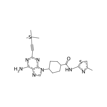 Cc1csc(NC(=O)C2CCC(n3cnc4c(N)nc(C#C[Si](C)(C)C)nc43)CC2)n1